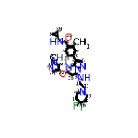 Cc1cc(-c2cnn3c(NCCN4CCC(F)(F)CC4)cc(Oc4cnn(C)c4)nc23)ccc1C(=O)NC1CC1